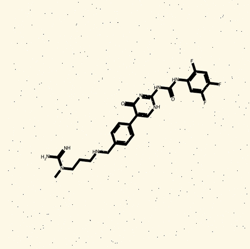 CN(CCCNCc1ccc(-c2c[nH]c(NC(=O)Nc3cc(F)c(F)cc3F)nc2=O)cc1)C(=N)N